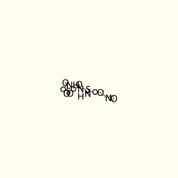 C[C@H]1CN(CCCOc2ccc(-c3ncc(CNC(=O)c4ccc5c(c4)NC(=O)c4ccccc4S5(=O)=O)s3)cc2)C[C@H](C)O1